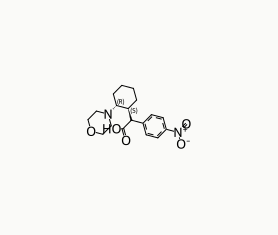 O=C(O)C(c1ccc([N+](=O)[O-])cc1)[C@@H]1CCCC[C@H]1N1CCOCC1